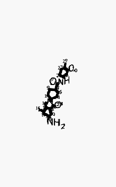 COc1cc(NC(=O)C2CCC(N3Cc4c(C)cc(N)cc4C3=O)CC2)ccc1C